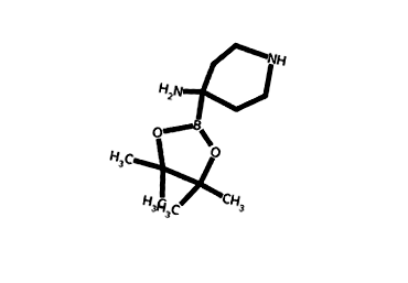 CC1(C)OB(C2(N)CCNCC2)OC1(C)C